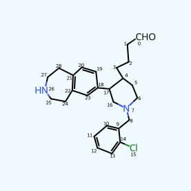 O=CCCCC1CCN(Cc2ccccc2Cl)CC1c1ccc2c(c1)CCNCC2